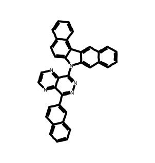 c1ccc2cc(-c3nnc(-n4c5cc6ccccc6cc5c5c6ccccc6ccc54)c4nccnc34)ccc2c1